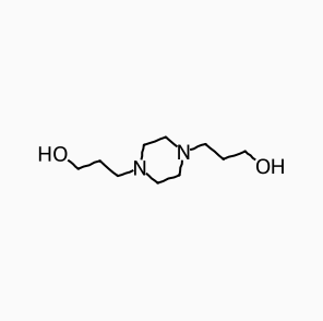 OCCCN1CCN(CCCO)CC1